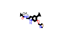 CC1(C(=O)NCc2cc3cc(C4CC4)c(OCc4cscn4)cc3[nH]2)CC1